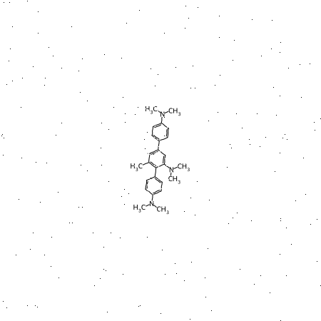 Cc1[c]c(-c2ccc(N(C)C)cc2)cc(N(C)C)c1-c1ccc(N(C)C)cc1